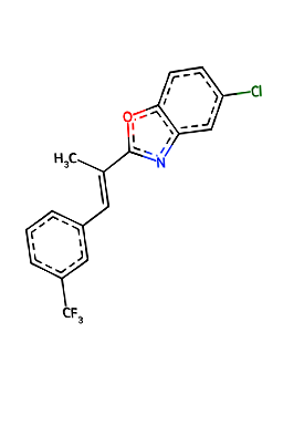 CC(=Cc1cccc(C(F)(F)F)c1)c1nc2cc(Cl)ccc2o1